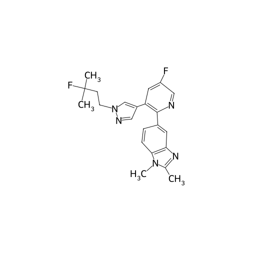 Cc1nc2cc(-c3ncc(F)cc3-c3cnn(CCC(C)(C)F)c3)ccc2n1C